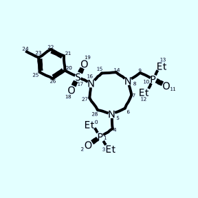 CCP(=O)(CC)CN1CCN(CP(=O)(CC)CC)CCN(S(=O)(=O)c2ccc(C)cc2)CC1